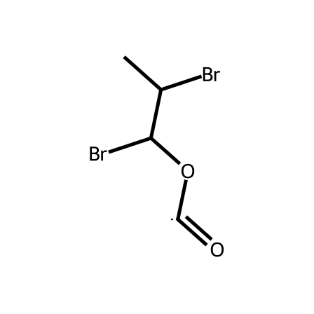 CC(Br)C(Br)O[C]=O